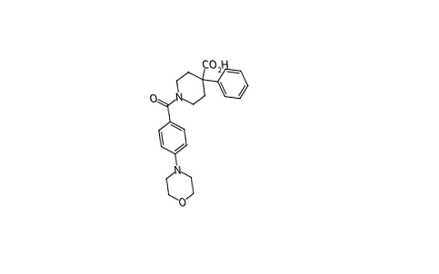 O=C(c1ccc(N2CCOCC2)cc1)N1CCC(C(=O)O)(c2ccccc2)CC1